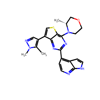 Cc1c(-c2csc3c(N4CCOC[C@H]4C)nc(-c4ccnc5[nH]ccc45)nc23)cnn1C